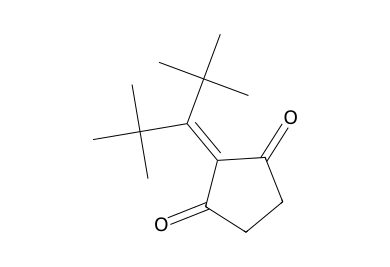 CC(C)(C)C(=C1C(=O)CCC1=O)C(C)(C)C